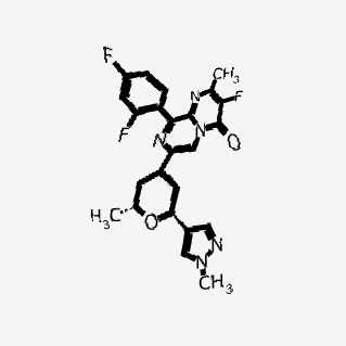 Cc1nc2c(-c3ccc(F)cc3F)nc(C3C[C@@H](C)O[C@H](c4cnn(C)c4)C3)cn2c(=O)c1F